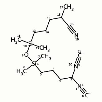 [C-]#[N+]C(CCC[Si](C)(C)O[Si](C)(C)CCCC(C)C#N)[N+]#[C-]